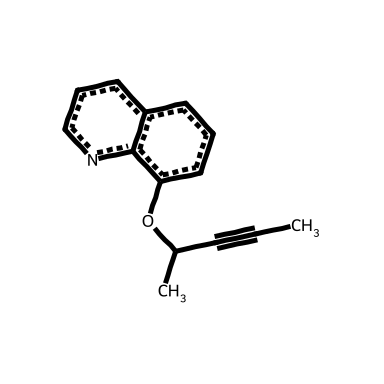 CC#CC(C)Oc1cccc2cccnc12